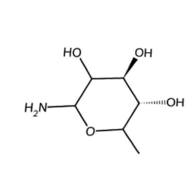 CC1OC(N)C(O)[C@@H](O)[C@@H]1O